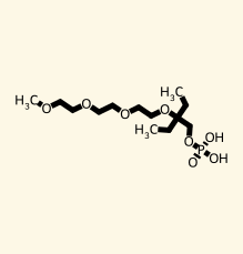 CCC(CC)(COP(=O)(O)O)OCCOCCOCCOC